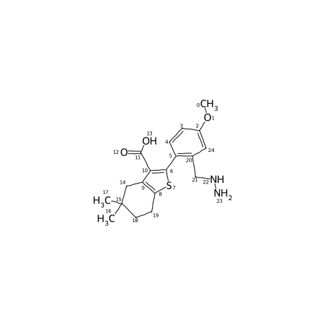 COc1ccc(-c2sc3c(c2C(=O)O)CC(C)(C)CC3)c(CNN)c1